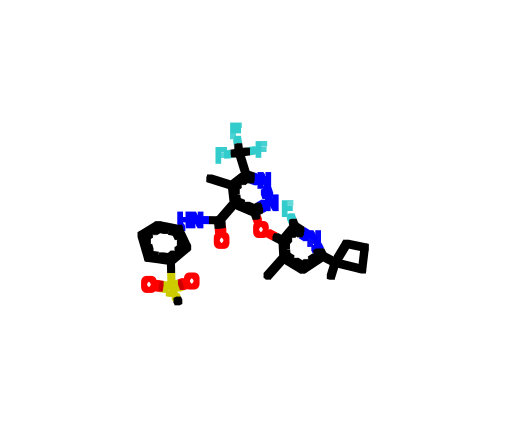 Cc1cc(C2(C)CCC2)nc(F)c1Oc1nnc(C(F)(F)F)c(C)c1C(=O)Nc1cccc(S(C)(=O)=O)c1